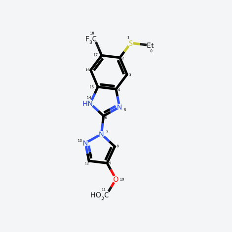 CCSc1cc2nc(-n3cc(OC(=O)O)cn3)[nH]c2cc1C(F)(F)F